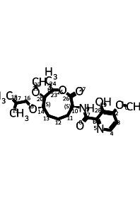 COc1ccnc(C(=O)N[C@H]2CCC[C@H](OCC(C)C)[C@@H](OC)[C@H](C)OC2=O)c1O